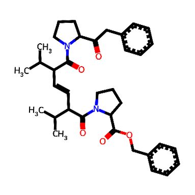 CC(C)C(C=CC(C(=O)N1CCCC1C(=O)OCc1ccccc1)C(C)C)C(=O)N1CCCC1C(=O)Cc1ccccc1